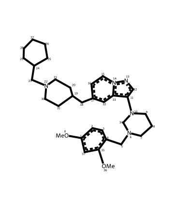 COc1ccc(CN2CCCN(c3cnn4ccc(CC5CCN(CC6CCCCC6)CC5)cc34)C2)c(OC)c1